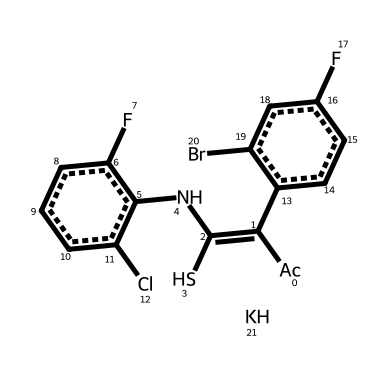 CC(=O)C(=C(S)Nc1c(F)cccc1Cl)c1ccc(F)cc1Br.[KH]